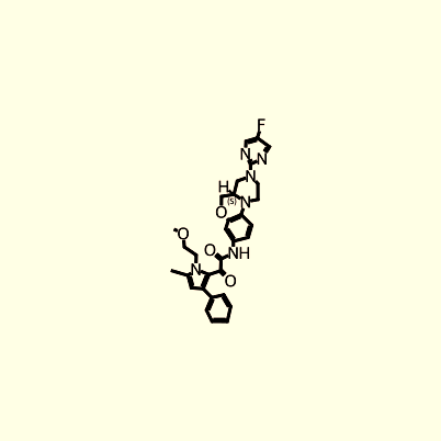 COCCn1c(C)cc(-c2ccccc2)c1C(=O)C(=O)Nc1ccc2c(c1)OC[C@@H]1CN(c3ncc(F)cn3)CCN21